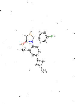 CC1=CC(c2ccc(N3C(=O)CSC3c3ccc(F)cc3)c(C)c2)=C1